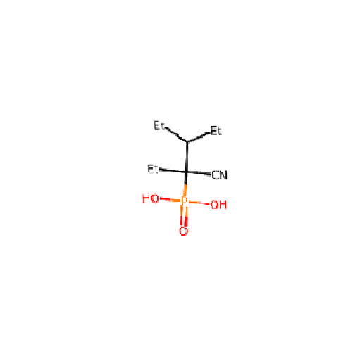 CCC(CC)C(C#N)(CC)P(=O)(O)O